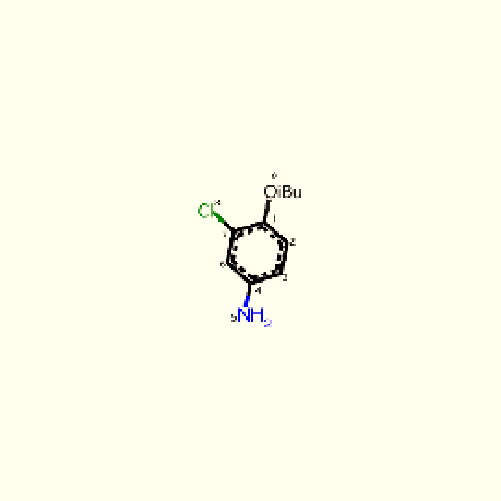 CC(C)COc1ccc(N)cc1Cl